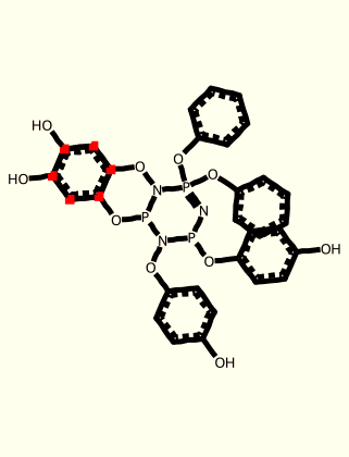 Oc1ccc(ON2P(Oc3ccc(O)cc3)N=P(Oc3ccccc3)(Oc3ccccc3)N(Oc3ccc(O)cc3)P2Oc2ccc(O)cc2)cc1